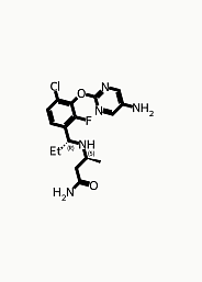 CC[C@@H](N[C@@H](C)CC(N)=O)c1ccc(Cl)c(Oc2ncc(N)cn2)c1F